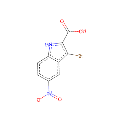 O=C(O)c1[nH]c2ccc([N+](=O)[O-])cc2c1Br